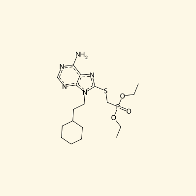 CCOP(=O)(CSc1nc2c(N)ncnc2n1CCC1CCCCC1)OCC